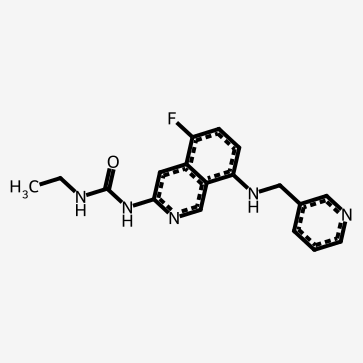 CCNC(=O)Nc1cc2c(F)ccc(NCc3cccnc3)c2cn1